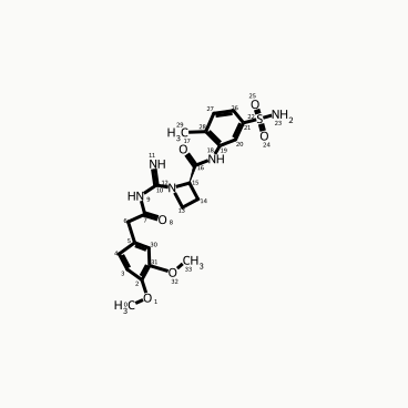 COc1ccc(CC(=O)NC(=N)N2CC[C@@H]2C(=O)Nc2cc(S(N)(=O)=O)ccc2C)cc1OC